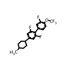 CC1CCC(c2cc(F)c(-c3ccc(OC(F)(F)F)c(F)c3)c(F)c2)CC1